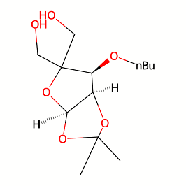 CCCCO[C@H]1[C@H]2OC(C)(C)O[C@H]2OC1(CO)CO